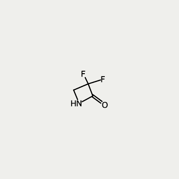 O=C1NCC1(F)F